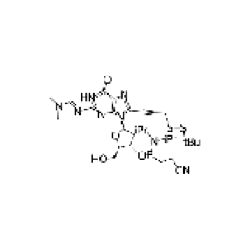 CC(C)N(C(C)C)P(CCC#N)O[C@H]1C[C@H](n2c(C#CCSSC(C)(C)C)nc3c(=O)[nH]c(/N=C/N(C)C)nc32)O[C@@H]1CO